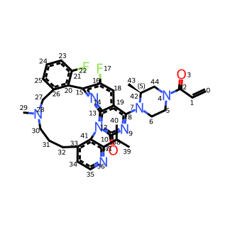 C=CC(=O)N1CCN(c2nc(=O)n3c4nc(c(F)cc24)-c2c(F)cccc2CN(C)CCCc2ccnc(C(C)C)c2-3)[C@@H](C)C1